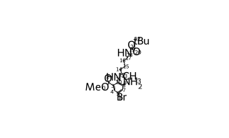 COC(=O)c1cc(Br)cc(N)c1N[C@@H](C)CCCCNC(=O)OC(C)(C)C